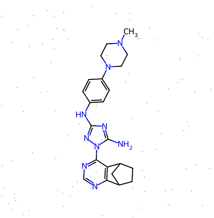 CN1CCN(c2ccc(Nc3nc(N)n(-c4ncnc5c4C4CCC5C4)n3)cc2)CC1